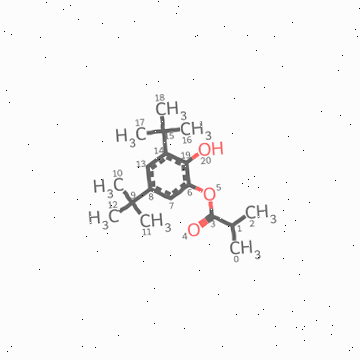 CC(C)C(=O)Oc1cc(C(C)(C)C)cc(C(C)(C)C)c1O